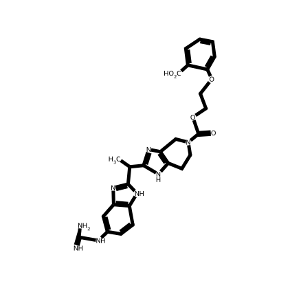 CC(c1nc2c([nH]1)CCN(C(=O)OCCOc1ccccc1C(=O)O)C2)c1nc2cc(NC(=N)N)ccc2[nH]1